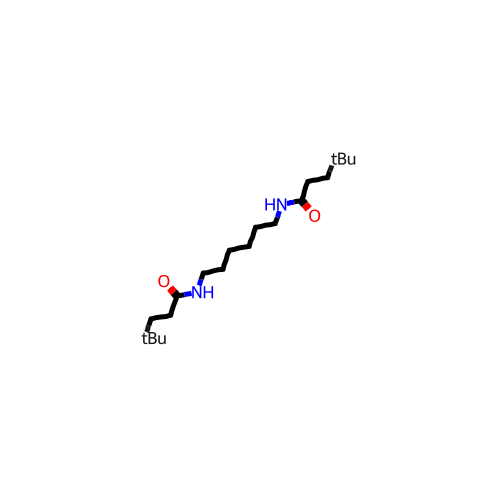 CC(C)(C)CCC(=O)NCCCCCCNC(=O)CCC(C)(C)C